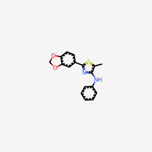 Cc1sc(-c2ccc3c(c2)OCO3)nc1Nc1ccccc1